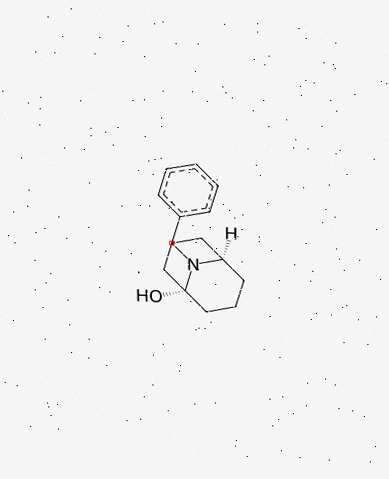 O[C@]12CCC[C@H](CCC1)N2Cc1ccccc1